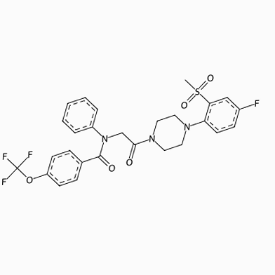 CS(=O)(=O)c1cc(F)ccc1N1CCN(C(=O)CN(C(=O)c2ccc(OC(F)(F)F)cc2)c2ccccc2)CC1